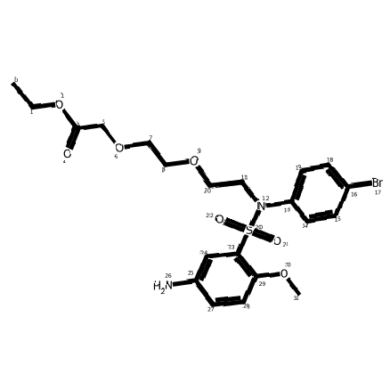 CCOC(=O)COCCOCCN(c1ccc(Br)cc1)S(=O)(=O)c1cc(N)ccc1OC